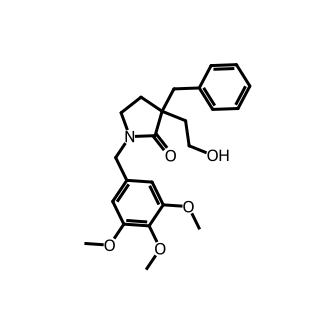 COc1cc(CN2CCC(CCO)(Cc3ccccc3)C2=O)cc(OC)c1OC